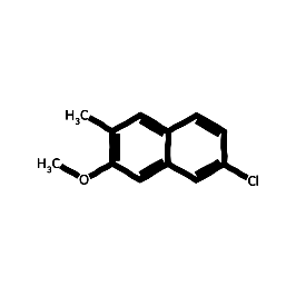 COc1cc2cc(Cl)ccc2cc1C